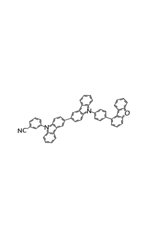 N#Cc1cccc(-n2c3ccccc3c3cc(-c4ccc5c(c4)c4ccccc4n5-c4ccc(-c5cccc6oc7ccccc7c56)cc4)ccc32)c1